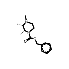 C[C@@H]1[C@H](C)N(C)CCN1C(=O)OCc1ccccc1